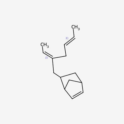 C/C=C(\C/C=C/C)CC1CC2C=CC1C2